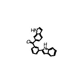 O=C(c1cccc(-c2cc3ccccc3[nH]2)c1)c1ccc2cc[nH]c2c1